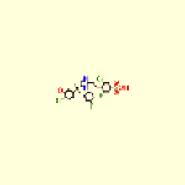 COc1cc(C(C)(C)c2cnc(CCc3c(F)cc(S(=O)(=O)O)cc3Cl)n2-c2ccc(F)cc2)ccc1Cl